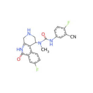 CN(C(=O)Nc1ccc(F)c(C#N)c1)C1CNCc2[nH]c(=O)c3cc(F)ccc3c21